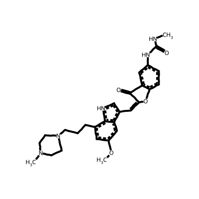 CNC(=O)Nc1ccc2c(c1)C(=O)C(=Cc1c[nH]c3c(CCCN4CCN(C)CC4)cc(OC)cc13)O2